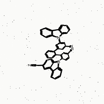 N#Cc1cc(-c2ccccc2-c2cc(C#N)ccc2-n2c3ccccc3c3cc(C#N)ccc32)cc(-n2c3ccccc3c3ccccc32)c1